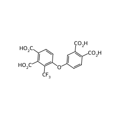 O=C(O)c1ccc(Oc2ccc(C(=O)O)c(C(=O)O)c2C(F)(F)F)cc1C(=O)O